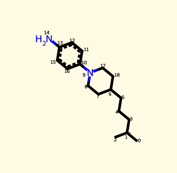 C[C](C)CCCC1CCN(c2ccc(N)cc2)CC1